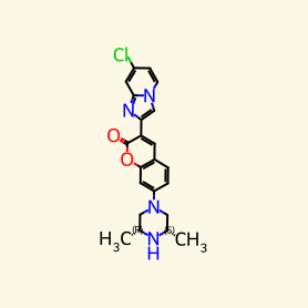 C[C@@H]1CN(c2ccc3cc(-c4cn5ccc(Cl)cc5n4)c(=O)oc3c2)C[C@H](C)N1